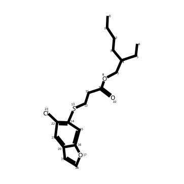 CCCCC(CC)COC(=O)CCSc1cc2occc2cc1Cl